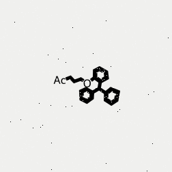 CC(=O)CCCOc1ccccc1[C](c1ccccc1)c1ccccc1